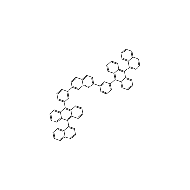 c1cc(-c2ccc3ccc(-c4cccc(-c5c6ccccc6c(-c6cccc7ccccc67)c6ccccc56)c4)cc3c2)cc(-c2c3ccccc3c(-c3cccc4ccccc34)c3ccccc23)c1